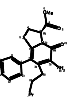 COC(=O)[C@@H]1CSc2c(-c3ccccc3)c(CCC(C)C)c(N)c(=O)n21